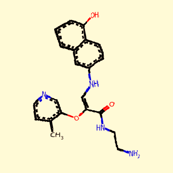 Cc1ccncc1O/C(=C/Nc1ccc2c(O)cccc2c1)C(=O)NCCN